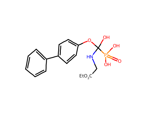 CCOC(=O)CNC(O)(Oc1ccc(-c2ccccc2)cc1)P(=O)(O)O